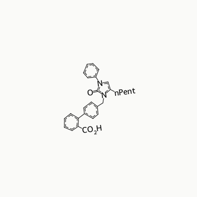 CCCCCc1cn(-c2ccccc2)c(=O)n1Cc1ccc(-c2ccccc2C(=O)O)cc1